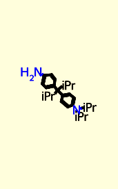 CC(C)N(c1ccc(C(c2ccc(N)cc2)(C(C)C)C(C)C)cc1)C(C)C